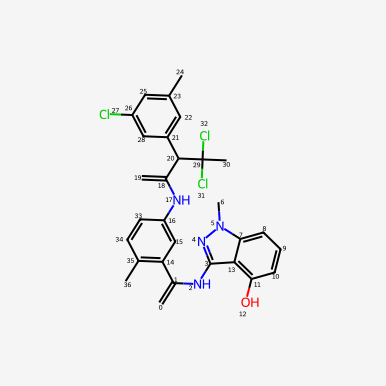 C=C(Nc1nn(C)c2cccc(O)c12)c1cc(NC(=C)C(c2cc(C)cc(Cl)c2)C(C)(Cl)Cl)ccc1C